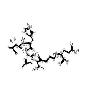 CC(C)C[C@H](NC(=O)[C@H](Cc1c[nH]cn1)NC(=O)[C@@H](N)C(C)C)C(=O)N[C@H](C(=O)CCCN[C@@H](CCC(=O)O)C(=O)O)[C@@H](C)O